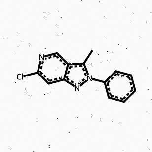 Cc1c2cnc(Cl)cc2nn1-c1ccccc1